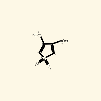 CCCCCCCCC1=CS(=O)(=O)C=C1CCCCCCCC